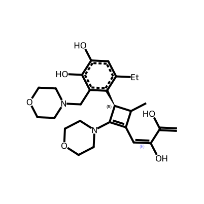 C=C(O)/C(O)=C\C1=C(N2CCOCC2)[C@@H](c2c(CC)cc(O)c(O)c2CN2CCOCC2)C1C